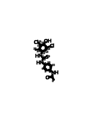 CC(=O)Nc1ccc(NC(=S)Nc2cc(Cl)c(O)c(Cl)c2C)cc1